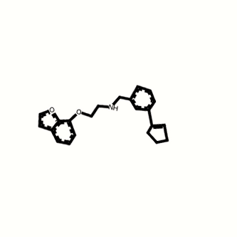 C1=C(c2cccc(CNCCOc3cccc4ccoc34)c2)CCC1